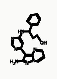 Nc1nn2cccnc2c1-c1cc(NC(CCO)c2ccccc2)ncn1